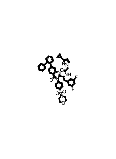 O=C(Cn1ccc(C2CC2)n1)NC(Cc1cc(F)cc(F)c1)c1nc2cc(-c3ccccc3-c3ccccc3)ccc2c(=O)n1-c1ccc(S(=O)(=O)N2CCOCC2)cc1